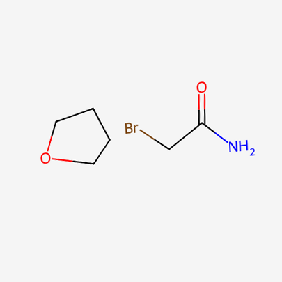 C1CCOC1.NC(=O)CBr